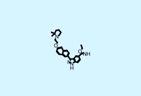 CCOC(=N)c1ccc2[nH]nc(-c3ccc4cc(OCCN5CCCCC5(C)C)ccc4c3)c2c1